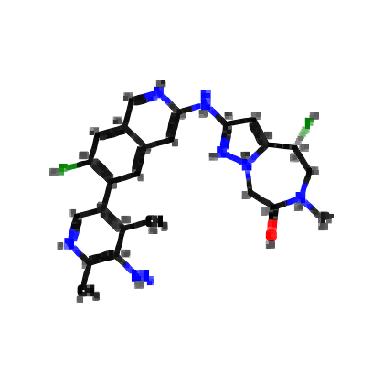 Cc1ncc(-c2cc3cc(Nc4cc5n(n4)CC(=O)N(C(C)C)C[C@H]5F)ncc3cc2F)c(C)c1N